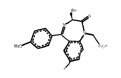 CCC(C)[C@@H]1N=C(c2ccc(OC)cc2)c2cc(F)ccc2N(CC(=O)O)C1=O